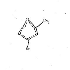 [CH2]c1cc(CC)ccn1